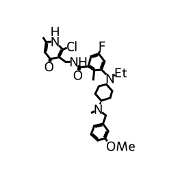 CCN(c1cc(F)cc(C(=O)NCc2c(Cl)[nH]c(C)cc2=O)c1C)[C@H]1CC[C@H](N(C)Cc2cccc(OC)c2)CC1